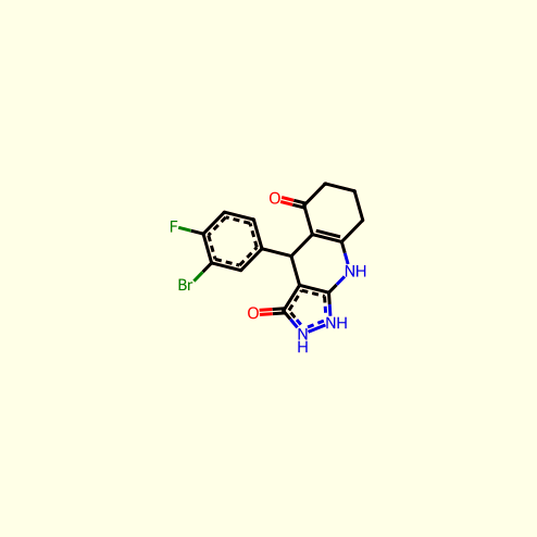 O=C1CCCC2=C1C(c1ccc(F)c(Br)c1)c1c([nH][nH]c1=O)N2